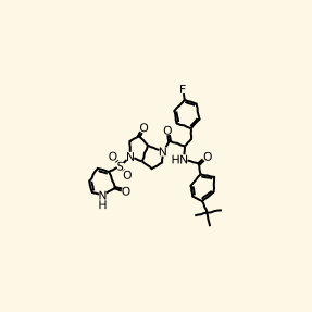 CC(C)(C)c1ccc(C(=O)NC(Cc2ccc(F)cc2)C(=O)N2CCC3C2C(=O)CN3S(=O)(=O)c2ccc[nH]c2=O)cc1